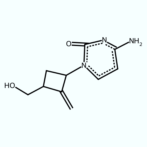 C=C1C(CO)CC1n1ccc(N)nc1=O